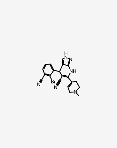 CN1CC=C(C2=C(C#N)C(c3cccc(C#N)c3Br)c3c[nH]nc3N2)CC1